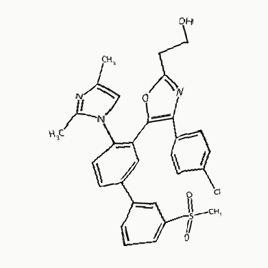 Cc1cn(-c2ccc(-c3cccc(S(C)(=O)=O)c3)cc2-c2oc(CCO)nc2-c2ccc(Cl)cc2)c(C)n1